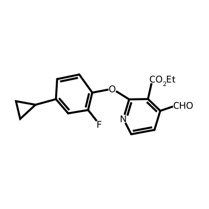 CCOC(=O)c1c(C=O)ccnc1Oc1ccc(C2CC2)cc1F